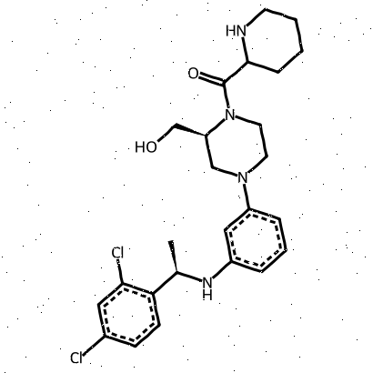 C[C@@H](Nc1cccc(N2CCN(C(=O)C3CCCCN3)[C@H](CO)C2)c1)c1ccc(Cl)cc1Cl